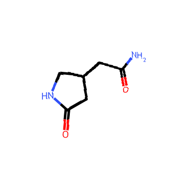 NC(=O)CC1CNC(=O)C1